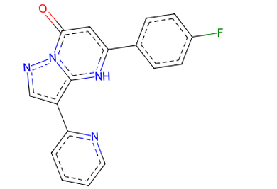 O=c1cc(-c2ccc(F)cc2)[nH]c2c(-c3ccccn3)cnn12